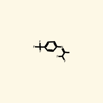 CC(=Nc1ccc(C(F)(F)F)cc1)C(F)F